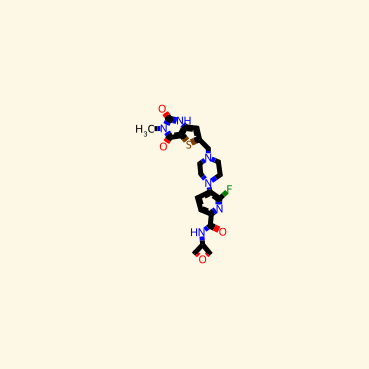 Cn1c(=O)[nH]c2cc(CN3CCN(c4ccc(C(=O)NC5COC5)nc4F)CC3)sc2c1=O